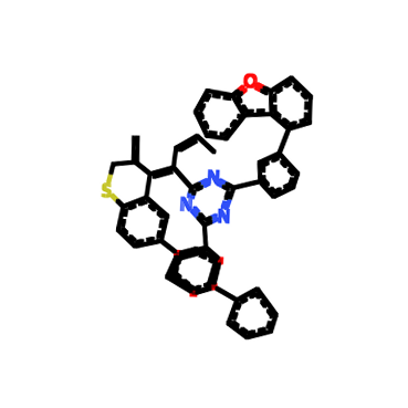 C=C1CSc2ccc(-c3ccc(-c4ccccc4)cc3)cc2/C1=C(/C=C\C)c1nc(C2=C=C=CC=C2)nc(-c2cccc(-c3cccc4oc5ccccc5c34)c2)n1